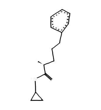 O=C(NC1CC1)[C@@H](O)[CH]CCc1ccccc1